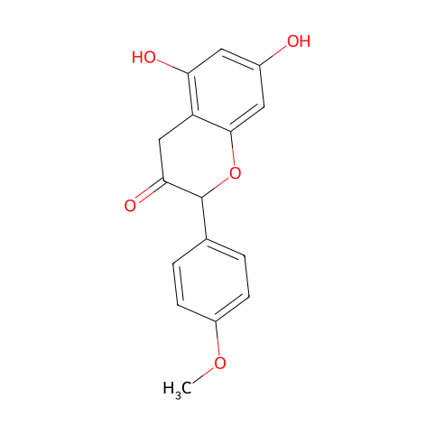 COc1ccc(C2Oc3cc(O)cc(O)c3CC2=O)cc1